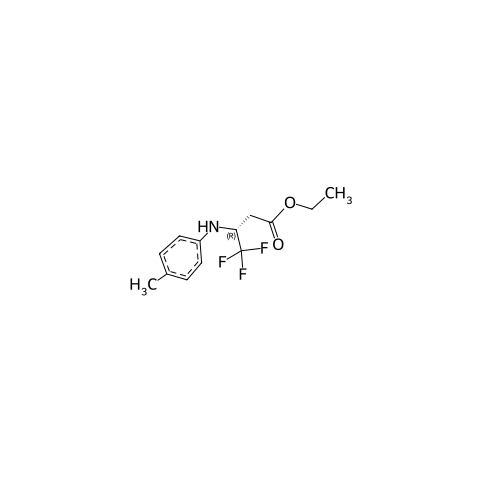 CCOC(=O)C[C@@H](Nc1ccc(C)cc1)C(F)(F)F